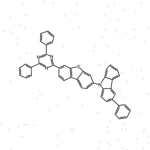 c1ccc(-c2ccc3c(c2)c2ccccc2n3-c2ccc3c(c2)sc2cc(-c4nc(-c5ccccc5)nc(-c5ccccc5)n4)ccc23)cc1